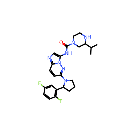 CC(C)C1CN(C(=O)Nc2cnc3ccc(N4CCCC4c4cc(F)ccc4F)nn23)CCN1